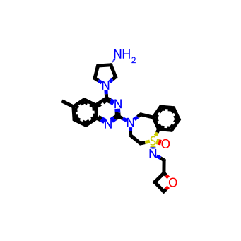 Cc1ccc2nc(N3CCS(=O)(=NCC4CCO4)c4ccccc4C3)nc(N3CC[C@H](N)C3)c2c1